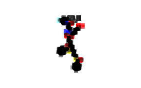 O=C(CCCCC(CCCSC(=O)c1ccccc1)SC(=O)c1ccccc1)OC(CCCO)NCCC(=O)N1CC(F)CC1C(=O)O